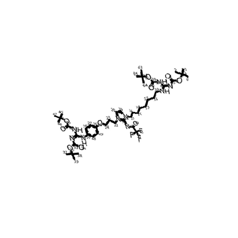 CC(C)(C)OC(=O)/N=C(/NCCCCCCCCn1ccn(CCCOc2ccc(N/C(=N\C(=O)OC(C)(C)C)NC(=O)OC(C)(C)C)cc2)/c1=N/C(=O)C(F)(F)F)NC(=O)OC(C)(C)C